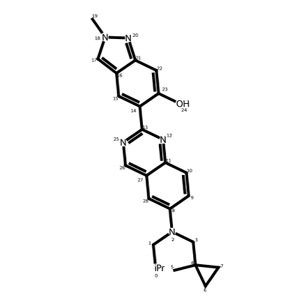 CC(C)CN(CC1(C)CC1)c1ccc2nc(-c3cc4cn(C)nc4cc3O)ncc2c1